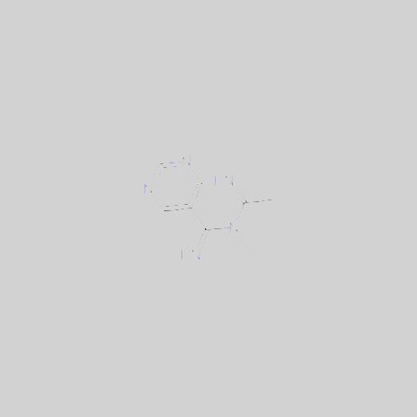 CC(=N)N(C)C(=N)c1cncnc1